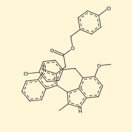 COc1ccc2[nH]c(C)c(-c3c(CC(=O)OCc4ccc(Cl)cc4)[nH]c4ccccc34)c2c1Cc1ccc(Cl)cc1